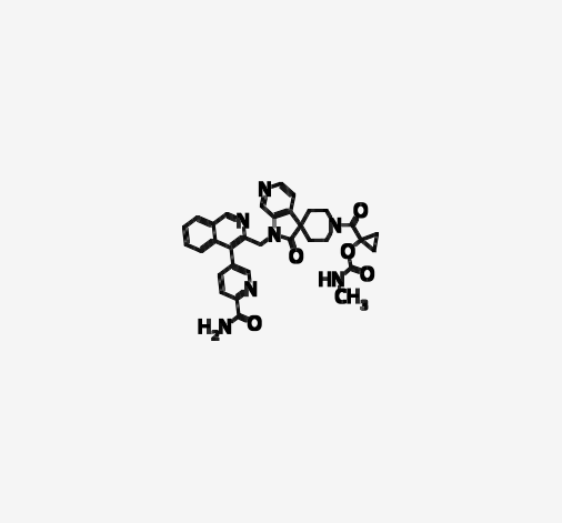 CNC(=O)OC1(C(=O)N2CCC3(CC2)C(=O)N(Cc2ncc4ccccc4c2-c2ccc(C(N)=O)nc2)c2cnccc23)CC1